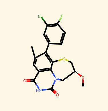 CO[C@@H]1CSc2c(-c3ccc(F)c(Cl)c3)c(C)cc3c(=O)[nH]c(=O)n(c23)C1